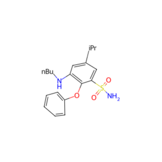 CCCCNc1cc(C(C)C)cc(S(N)(=O)=O)c1Oc1ccccc1